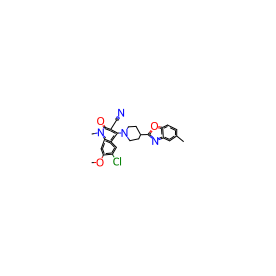 COc1cc2c(cc1Cl)c(N1CCC(c3nc4cc(C)ccc4o3)CC1)c(C#N)c(=O)n2C